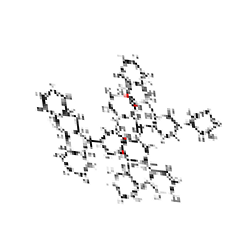 c1ccc(-c2ccc(N(c3ccc(-c4ccccc4)c(-c4ccccc4)c3)c3ccccc3-c3cccc(-n4c5ccccc5c5cc6ccccc6cc54)c3)c(-c3ccc4ccccc4c3)c2)cc1